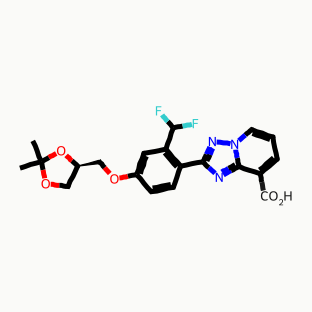 CC1(C)OC[C@H](COc2ccc(-c3nc4c(C(=O)O)cccn4n3)c(C(F)F)c2)O1